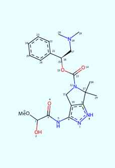 COC(O)C(=O)Nc1n[nH]c2c1CN(C(=O)O[C@H](CN(C)C)c1ccccc1)C2(C)C